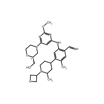 COc1nc(Nc2cc(C3CCN(C4COC4)C(C)C3)c(C)cc2C=N)cc(N2CCO[C@H](CO)C2)n1